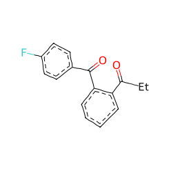 CCC(=O)c1ccccc1C(=O)c1ccc(F)cc1